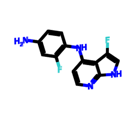 Nc1ccc(Nc2ccnc3[nH]cc(F)c23)c(F)c1